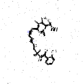 Cc1nc(/C=C\C=C\OCC(C)(C)NC(=O)c2ccccc2O)c(C)c(N)c1C(=O)O